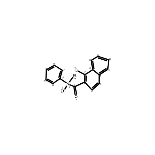 CC[N+](CC)(C(=O)c1ccc2ccccc2c1[O])c1ccccc1